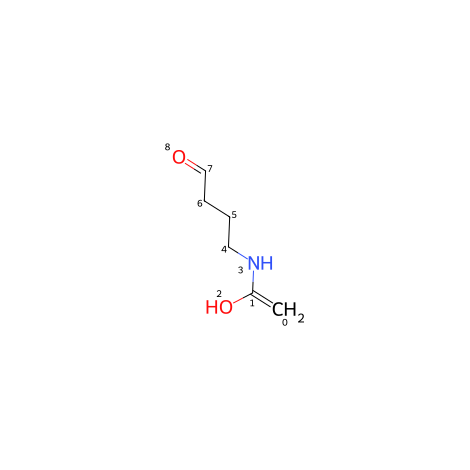 C=C(O)NCCCC=O